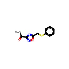 COC(=O)c1noc(CSc2ccccc2)n1